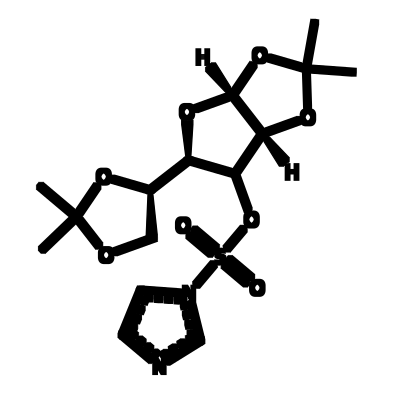 CC1(C)O[C@H]2O[C@H]([C@H]3COC(C)(C)O3)C(OS(=O)(=O)n3ccnc3)[C@H]2O1